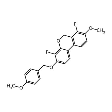 COc1ccc(COc2ccc3c(c2F)OCc2c-3ccc(OC)c2F)cc1